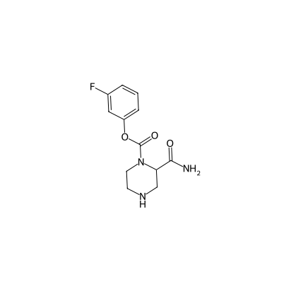 NC(=O)C1CNCCN1C(=O)Oc1cccc(F)c1